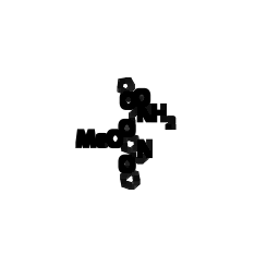 COc1cc2c(Oc3ccccc3)ccnc2cc1OCCC(N)C(=O)OC1CCCC1